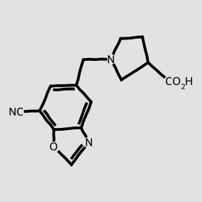 N#Cc1cc(CN2CCC(C(=O)O)C2)cc2ncoc12